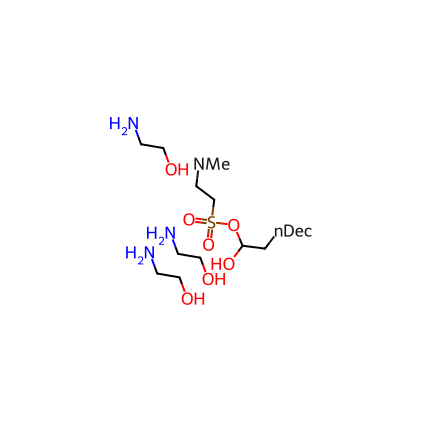 CCCCCCCCCCCC(O)OS(=O)(=O)CCNC.NCCO.NCCO.NCCO